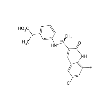 C[C@H](Nc1cccc(N(C)C(=O)O)c1)c1cc2cc(Cl)cc(F)c2[nH]c1=O